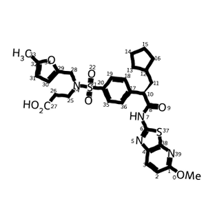 COc1ccc2nc(NC(=O)[C@H](CC3CCCC3)c3ccc(S(=O)(=O)N(CCC(=O)O)Cc4ccc(C)o4)cc3)sc2n1